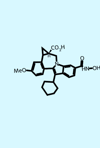 COc1ccc2c(c1)C1C[C@]1(C(=O)O)Cn1c-2c(C2CCCCC2)c2ccc(C(=O)NO)cc21